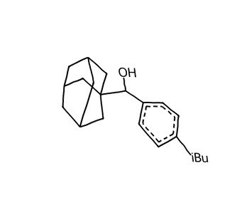 CCC(C)c1ccc(C(O)C23CC4CC(CC(C4)C2)C3)cc1